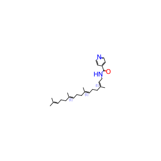 CC(C)=CCC/C(C)=C/CC/C(C)=C/CC/C(C)=C/CNC(=O)c1ccncc1